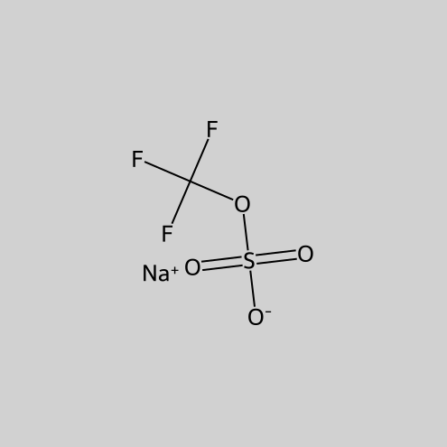 O=S(=O)([O-])OC(F)(F)F.[Na+]